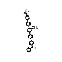 Cc1cc(-c2ccc(-c3ccc(C(=O)c4ccccc4)cc3)cc2)ccc1-c1ccc(-c2ccc(C(F)(F)F)cc2)cc1